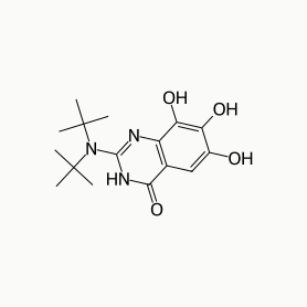 CC(C)(C)N(c1nc2c(O)c(O)c(O)cc2c(=O)[nH]1)C(C)(C)C